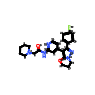 O=C(CN1CCCCC1)Nc1cc(-c2c(-c3ccc(F)cc3)nn3c2OCCC3)ccn1